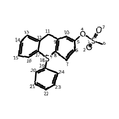 CS(=O)(=O)Oc1ccc2c(c1)Cc1ccccc1[S+]2c1ccccc1